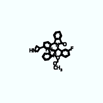 COCOc1ccc(F)cc1C(c1nc2ccccc2[nH]1)N1C(=O)c2ccccc2C1c1ccc(C2CNC2)cc1